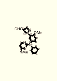 CNc1ccnc(N(c2ccccc2)c2ccc(OC)c(-n3cc(C=O)cn3)c2)n1